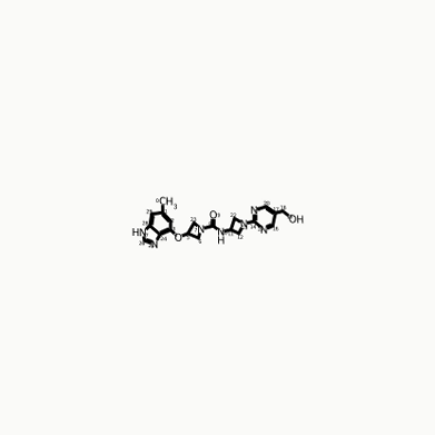 Cc1cc(OC2CN(C(=O)NC3CN(c4ncc(CO)cn4)C3)C2)c2nc[nH]c2c1